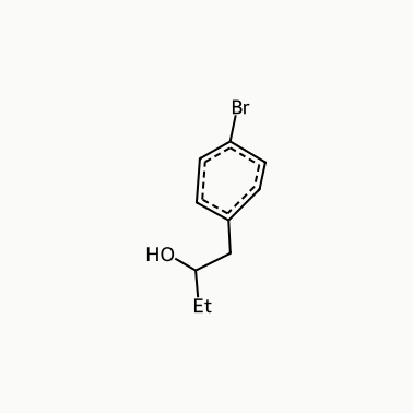 CCC(O)Cc1ccc(Br)cc1